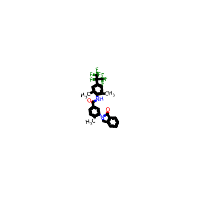 Cc1ccc(C(=O)Nc2c(C)cc(C(F)(C(F)(F)F)C(F)(F)F)cc2C)cc1N1Cc2ccccc2C1=O